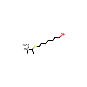 CO[Si](C)(C)C(C)SCCCCCCCO